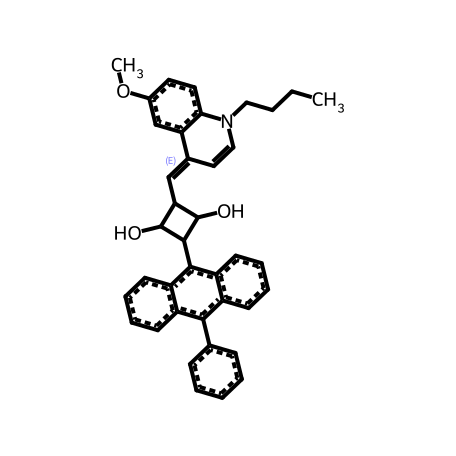 CCCCN1C=C/C(=C\C2C(O)C(c3c4ccccc4c(-c4ccccc4)c4ccccc34)C2O)c2cc(OC)ccc21